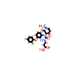 CN1C=CC(=O)[C@H](N(C(=O)NCCC(=O)O)c2cccc(Oc3ccc(F)cc3F)c2)C1=O